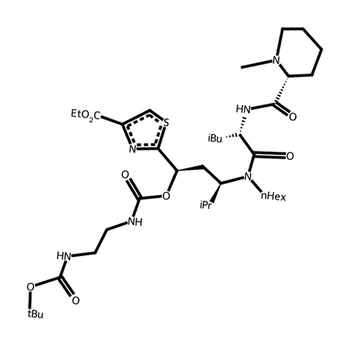 CCCCCCN(C(=O)[C@@H](NC(=O)[C@H]1CCCCN1C)[C@@H](C)CC)[C@H](C[C@@H](OC(=O)NCCNC(=O)OC(C)(C)C)c1nc(C(=O)OCC)cs1)C(C)C